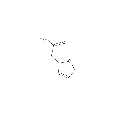 CC(=O)CC1C=CCO1